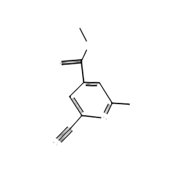 COC(=O)c1cc(Cl)nc(C#N)c1